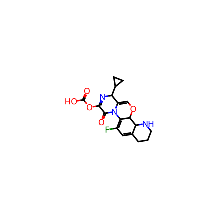 O=C(O)OC1=NC(C2CC2)C2=COC3C(=C(F)C=C4CCCNC43)N2C1=O